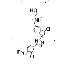 CC(C)Oc1ccc(-c2nc(-n3cc(Cl)c4cc(CNCCO)ccc43)no2)cc1Cl